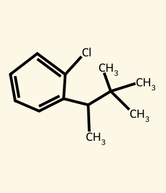 CC(c1ccccc1Cl)C(C)(C)C